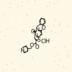 Cl.O=C(OCc1ccncc1)c1cn2c(=O)n(Cc3ccccc3)c(=O)cc2s1